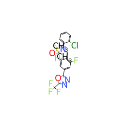 C[SH](C)(=O)N(Cc1ccc(-c2nnc(C(F)(F)F)o2)cc1F)c1ccccc1Cl